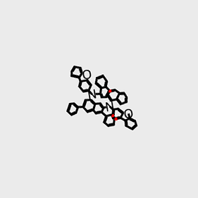 c1ccc(-c2cc(N(c3ccc4c(c3)oc3ccccc34)c3cccc4ccccc34)c3cc(N(c4ccc5c(c4)oc4ccccc45)c4cccc5ccccc45)c(-c4ccccc4)cc3c2)cc1